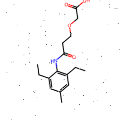 CCc1cc(C)cc(CC)c1NC(=O)CCOCC(=O)O